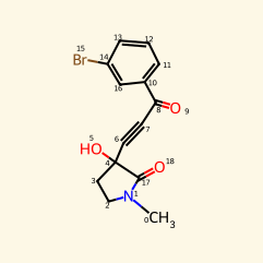 CN1CCC(O)(C#CC(=O)c2cccc(Br)c2)C1=O